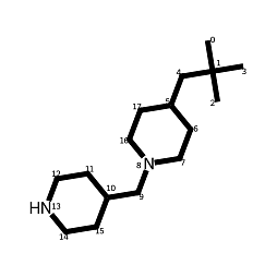 CC(C)(C)CC1CCN(CC2CCNCC2)CC1